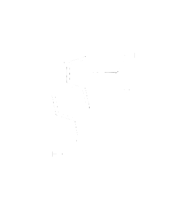 COc1ccc2occ(C(C)=O)c2c1